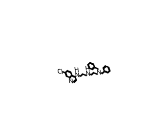 Clc1ccc2c(NCCCNCCCN(Cc3ccccc3)Cc3ccccc3)ccnc2c1